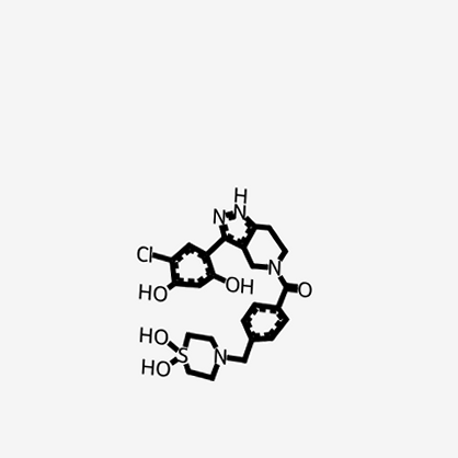 O=C(c1ccc(CN2CCS(O)(O)CC2)cc1)N1CCc2[nH]nc(-c3cc(Cl)c(O)cc3O)c2C1